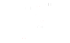 COC(=O)C1(C)CCC(=O)C1C